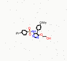 COc1ccc(-c2c(NS(=O)(=O)c3ccc(C(C)C)cc3)ncnc2OCCO)cc1